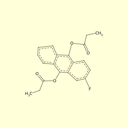 CCC(=O)Oc1c2ccccc2c(OC(=O)CC)c2cc(F)ccc12